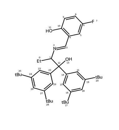 CCC(N=Cc1cc(F)ccc1O)C(O)(c1cc(C(C)(C)C)cc(C(C)(C)C)c1)c1cc(C(C)(C)C)cc(C(C)(C)C)c1